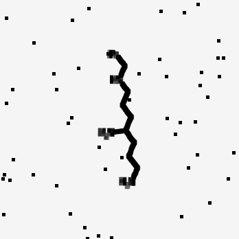 CC(C)CNCCCC(N)CCCN